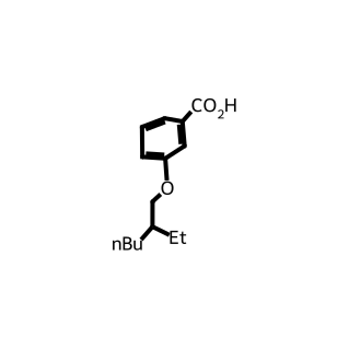 CCCCC(CC)COc1cccc(C(=O)O)c1